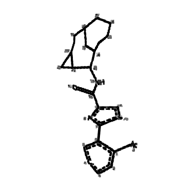 CC(=O)c1ccccc1-c1nc(C(=O)NC2C3CCCC(CC4CC42)C3)cs1